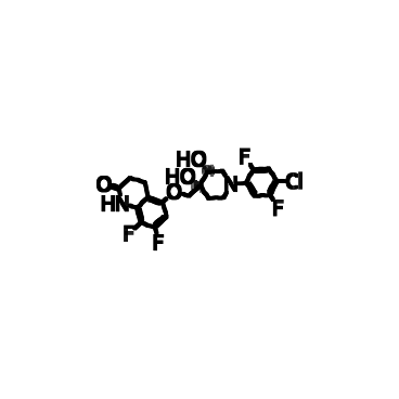 O=C1CCc2c(OC[C@]3(O)CCN(c4cc(F)c(Cl)cc4F)C[C@H]3O)cc(F)c(F)c2N1